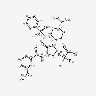 CC(C)N(C)[C@@H]1CC[C@H](N2CC[C@H](NC(=O)c3cccc(OC(F)(F)F)c3)C2=O)[C@H](CS(=O)(=O)c2ccccc2)C1.O=C(O)C(F)(F)F